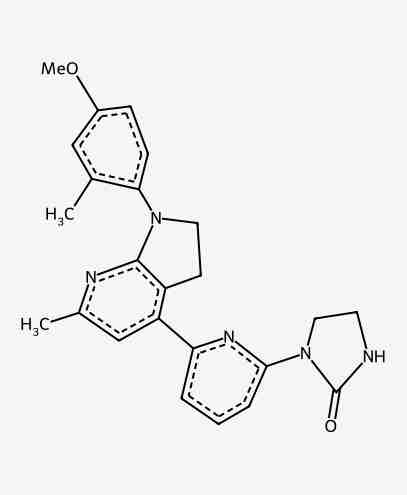 COc1ccc(N2CCc3c(-c4cccc(N5CCNC5=O)n4)cc(C)nc32)c(C)c1